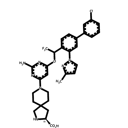 Cc1ccn(-c2cc(-c3cccc(Cl)c3)ccc2C(Oc2cc(N3CCC4(CC3)CN[C@H](C(=O)O)C4)nc(N)n2)C(F)(F)F)n1